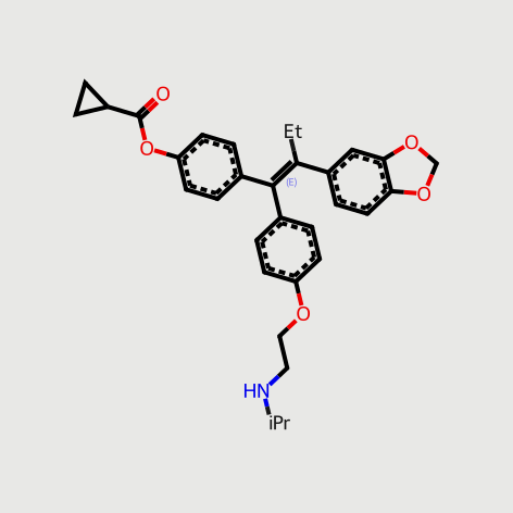 CC/C(=C(/c1ccc(OCCNC(C)C)cc1)c1ccc(OC(=O)C2CC2)cc1)c1ccc2c(c1)OCO2